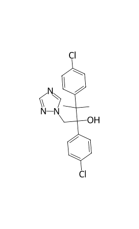 CC(C)(c1ccc(Cl)cc1)C(O)(Cn1cncn1)c1ccc(Cl)cc1